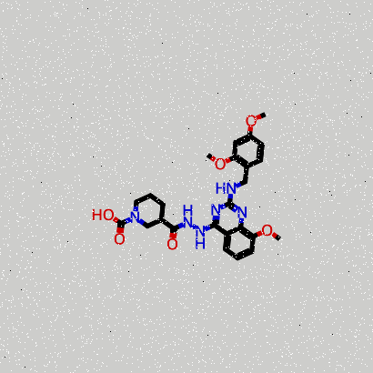 COc1ccc(CNc2nc(NNC(=O)C3CCCN(C(=O)O)C3)c3cccc(OC)c3n2)c(OC)c1